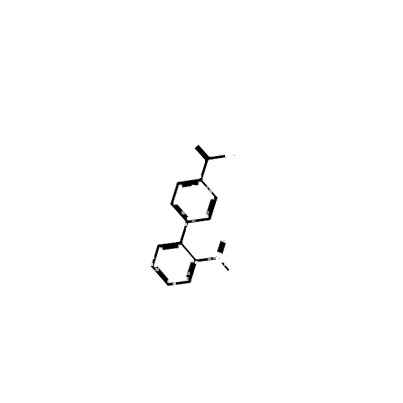 O=C(O)c1ccc(-c2ccccc2[N+](=O)[O-])cc1